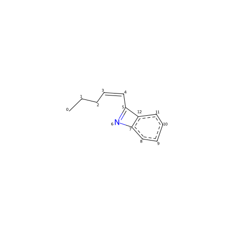 CCC/C=C\C1=Nc2ccccc21